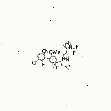 COc1cc([C@H](CC2CC2)n2cc(-c3ncnn3C(F)F)cn2)[n+]([O-])cc1-c1c(C#N)ccc(Cl)c1F